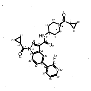 O=C(NC1CCN(C(=O)C2CC2)CC1)c1nn(C(=O)C2CC2)c2ccc(-c3cccnc3F)cc12